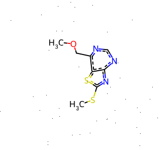 COCc1ncnc2nc(SC)sc12